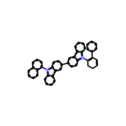 C1=CC(c2ccccc2)=C(n2c3ccccc3c3cc(-c4ccc5c(c4)c4ccccc4n5-c4cccc5ccccc45)ccc32)CC1